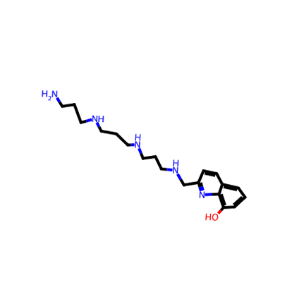 NCCCNCCCNCCCNCc1ccc2cccc(O)c2n1